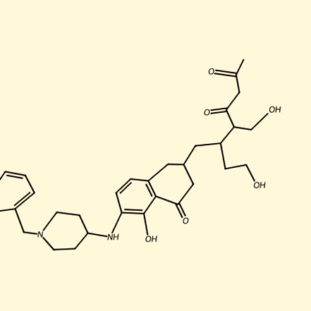 CC(=O)CC(=O)C(CO)C(CCO)CC1CC(=O)c2c(ccc(NC3CCN(Cc4ccccc4)CC3)c2O)C1